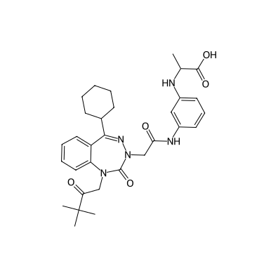 CC(Nc1cccc(NC(=O)CN2N=C(C3CCCCC3)c3ccccc3N(CC(=O)C(C)(C)C)C2=O)c1)C(=O)O